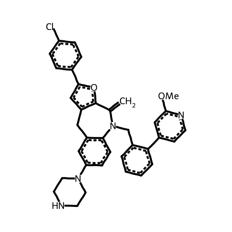 C=C1c2oc(-c3ccc(Cl)cc3)cc2Cc2cc(N3CCNCC3)ccc2N1Cc1ccccc1-c1ccnc(OC)c1